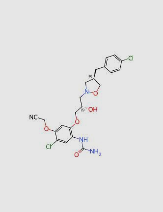 N#CCOc1cc(OC[C@@H](O)CN2C[C@@H](Cc3ccc(Cl)cc3)CO2)c(NC(N)=O)cc1Cl